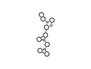 c1cc(-n2c3ccccc3c3ccccc32)cc(-n2c3ccccc3c3cc(-c4ccc5c(c4)Oc4ccccc4N5c4ccc5ccccc5c4)ccc32)c1